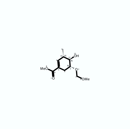 COCO[C@@H]1CC(C(=O)OC)=C[C@H](C)[C@H]1O